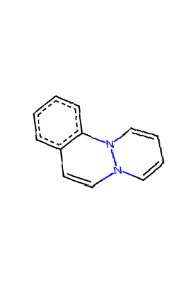 C1=CN2C=Cc3ccccc3N2C=C1